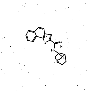 O=C(N[C@@H]1CN2CCC1CC2)c1cc2ccc3ccccc3c2o1